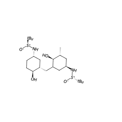 C[C@@H]1C[C@@H](N[S@@+]([O-])C(C)(C)C)CC(C[C@H]2C[C@@H](N[S@@+]([O-])C(C)(C)C)CC[C@@H]2O)[C@H]1O